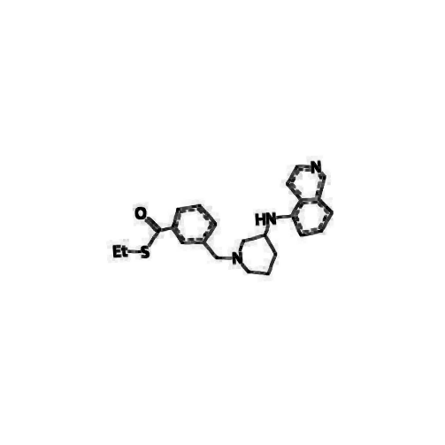 CCSC(=O)c1cccc(CN2CCCC(Nc3cccc4cnccc34)C2)c1